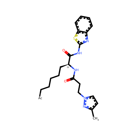 CC(=O)CCCCC[C@H](NC(=O)CCn1ccc(C)n1)C(=O)Nc1nc2ccccc2s1